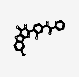 O=C(Nc1ccc(-c2nc3c(oc4ccc(Br)cc43)c(=O)[nH]2)c(Cl)c1)c1ccccn1